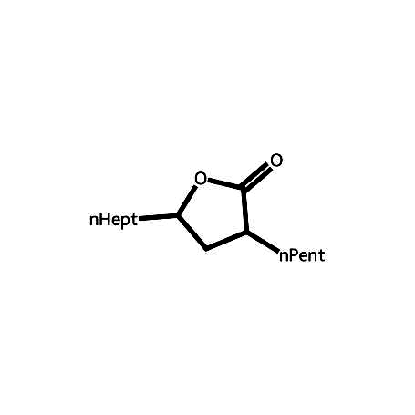 CCCCCCCC1CC(CCCCC)C(=O)O1